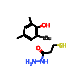 Cc1cc(C)c(O)c(C(C)(C)C)c1.NNC(=O)CCS